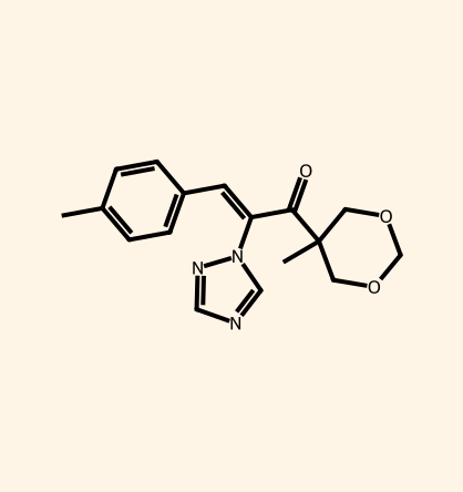 Cc1ccc(C=C(C(=O)C2(C)COCOC2)n2cncn2)cc1